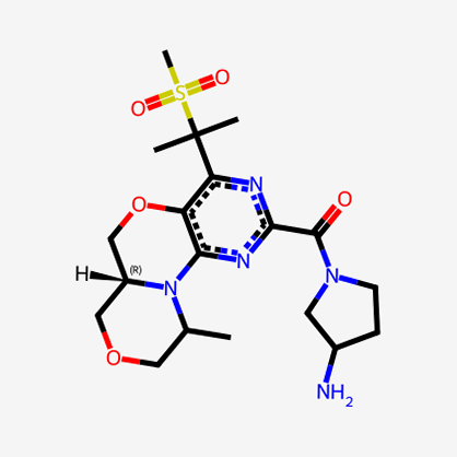 CC1COC[C@@H]2COc3c(nc(C(=O)N4CCC(N)C4)nc3C(C)(C)S(C)(=O)=O)N12